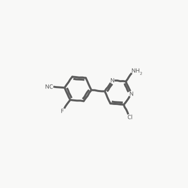 N#Cc1ccc(-c2cc(Cl)nc(N)n2)cc1F